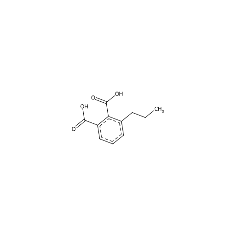 CCCc1cccc(C(=O)O)c1C(=O)O